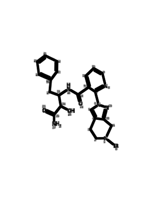 CCN1CCc2cn(-c3ncccc3C(=O)NC(Cc3ccccc3)C(O)C(N)=O)nc2C1